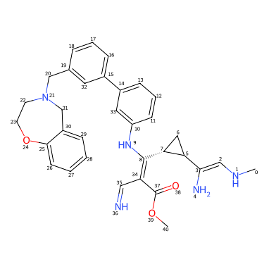 CN/C=C(\N)C1C[C@H]1/C(Nc1cccc(-c2cccc(CN3CCOc4ccccc4C3)c2)c1)=C(/C=N)C(=O)OC